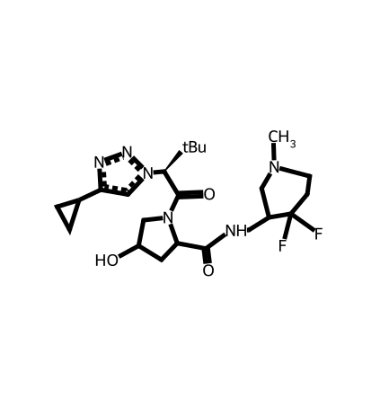 CN1CCC(F)(F)C(CNC(=O)C2CC(O)CN2C(=O)[C@@H](n2cc(C3CC3)nn2)C(C)(C)C)C1